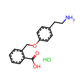 Cl.NCCc1ccc(OCc2ccccc2C(=O)O)cc1